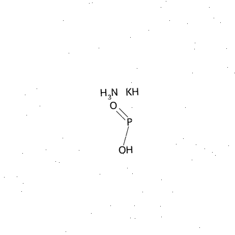 N.O=PO.[KH]